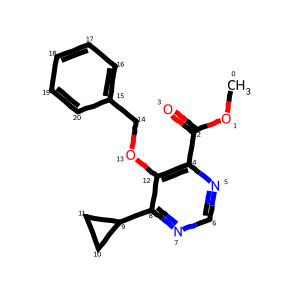 COC(=O)c1ncnc(C2CC2)c1OCc1ccccc1